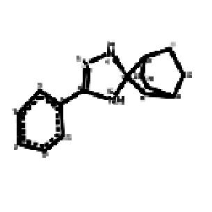 c1ccc(C2=NN[C@@]3(CC4CCC3CC4)N2)cc1